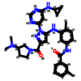 Cc1cccc(C(=O)Nc2ccc(C)c(Nc3cc(C(=O)N4CCC(N(C)C)C4)nn3-c3cc(NC4CC4)ncn3)c2)c1